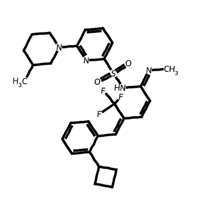 C\N=C(/C=C\C(=C\c1ccccc1C1CCC1)C(F)(F)F)NS(=O)(=O)c1cccc(N2CCCC(C)C2)n1